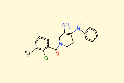 NC1=C(Nc2ccccc2)CCN(C(=O)c2cccc(C(F)(F)F)c2Cl)C1